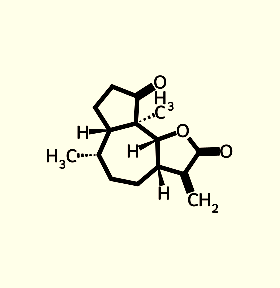 C=C1C(=O)O[C@@H]2[C@H]1CC[C@H](C)[C@@H]1CCC(=O)[C@@]21C